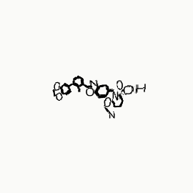 Cc1c(-c2ccc3c(c2)OCCO3)cccc1-c1nc2cc(CN3CCCC[C@H]3C(=O)O)c(OCC#N)cc2o1